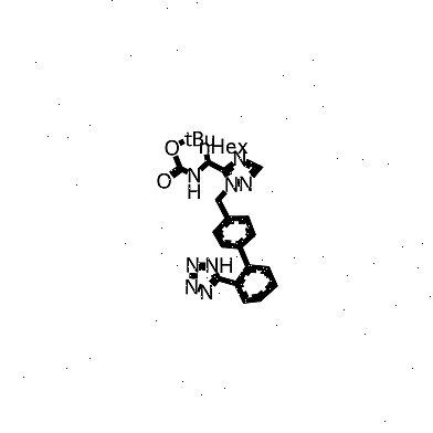 CCCCCCC(NC(=O)OC(C)(C)C)c1ncnn1Cc1ccc(-c2ccccc2-c2nnn[nH]2)cc1